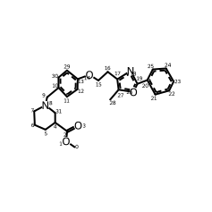 COC(=O)C1CCCN(Cc2ccc(OCCc3nc(-c4ccccc4)oc3C)cc2)C1